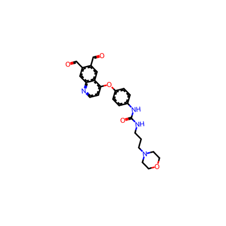 O=Cc1cc2nccc(Oc3ccc(NC(=O)NCCCN4CCOCC4)cc3)c2cc1C=O